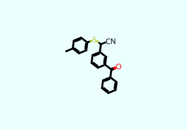 Cc1ccc(SC(C#N)c2cccc(C(=O)c3ccccc3)c2)cc1